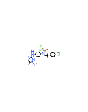 Cc1cnc(NC2CCC(N(CC(C)(C)c3ccc(Cl)cc3)C(=O)C(F)(F)F)CC2)nc1N(C)C